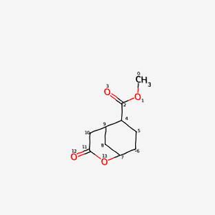 COC(=O)C1C[CH]C2CC1CC(=O)O2